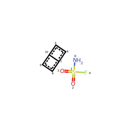 NS(=O)(=O)F.c1cc2ccc1-2